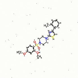 COc1ccc(S(=O)(=O)N2CCN(c3nc(-c4ccccc4C)cs3)CC2)c(OC)c1